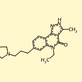 CCn1c(=O)c2c(C)[nH]nc2c2ccc(CCCN3CCCC3)cc21